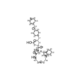 O=C(O)C[C@@H](CCCc1ccc(OCc2ccncc2)cc1)C(=O)N[C@H]1Cc2cn(c3ccccc23)CCOCCNC1=O